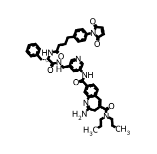 CCCN(CCC)C(=O)C1=Cc2ccc(C(=O)Nc3cncc(CNC(=O)[C@H](Cc4ccccc4)NC(=O)CCCc4ccc(N5C(=O)C=CC5=O)cc4)c3)cc2N=C(N)C1